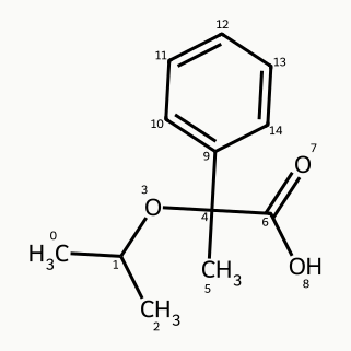 CC(C)OC(C)(C(=O)O)c1ccccc1